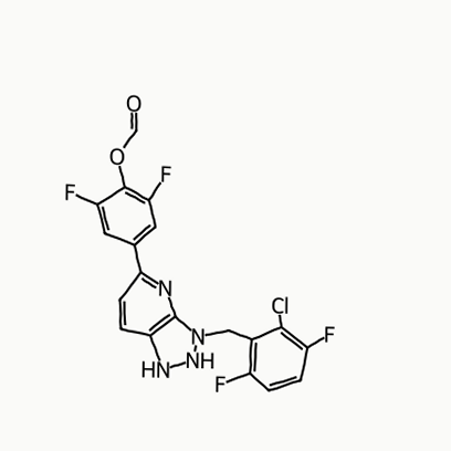 O=COc1c(F)cc(-c2ccc3c(n2)N(Cc2c(F)ccc(F)c2Cl)NN3)cc1F